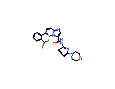 O=C(Nc1cccc(N2CCOCC2)n1)c1cnc2ccc(-c3ccccc3C(F)F)nn12